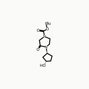 CC(C)(C)OC(=O)N1CCN([C@H]2CC[C@H](O)C2)C(=O)C1